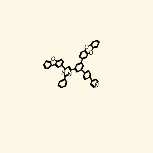 c1ccc(-c2nc(-c3cc(-c4ccc(-c5ccncc5)cc4)cc(-c4ccc5c(c4)Oc4ccccc4O5)c3)cc(-c3ccc4oc5ccccc5c4c3)n2)cc1